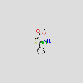 COC(=O)c1csc(-c2ccccc2)c1N.Cl